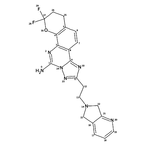 Nc1nc2c3c(ccc2c2nc(CCN4Cc5cccnc5C4)nn12)CCC(F)(F)O3